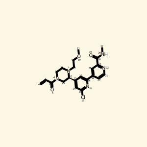 C=CC(=O)N1CCN(CCOC)[C@@H](c2cc(Cl)nc(-c3ccnc(C(=O)NC)c3)c2)C1